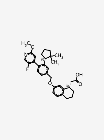 COc1cc(-c2ccc(COc3ccc4c(c3)[C@H](CC(=O)O)CCC4)cc2[C@H]2CCCC2(C)C)c(F)cn1